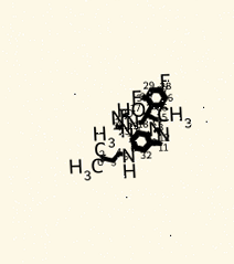 CC(C)CCNc1ccc2c(cnn2[C@H](C)[C@](O)(Cn2cncn2)c2ccc(F)cc2F)c1